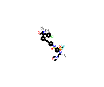 Cc1c(C=O)c(-c2cccc(C#Cc3ccc(N[S+]([O-])c4ccc(N[C@@H](C)CCN5CCOCC5)c(S(=O)(=O)C(F)(F)F)c4)cc3)c2)c(-c2ccc(Cl)cc2)n1C